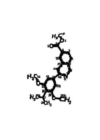 COC(=O)c1ccc2cnc(-c3cc(OC)c(C(C)C)c(OC)c3)cc2c1